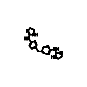 c1cc(NC2=NCCN2)ccc1Cc1ccc(NC2=NCCN2)cc1